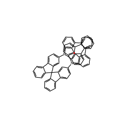 c1ccc2c(c1)-c1ccc(-n3c4cccc5c6ccccc6c6cccc3c6c54)cc1C21c2ccccc2-c2ccc(-n3c4cccc5c6ccccc6c6cccc3c6c54)cc21